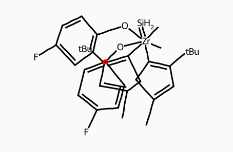 CC1=CC(C(C)(C)C)=[C]([Zr]([CH3])([CH3])(=[SiH2])([O]c2ccc(F)cc2)([O]c2ccc(F)cc2)[C]2=C(C(C)(C)C)C=C(C)C2)C1